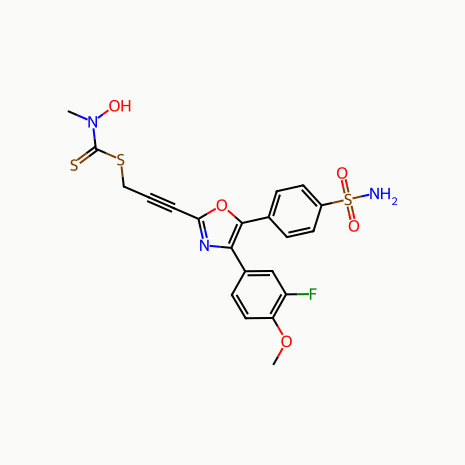 COc1ccc(-c2nc(C#CCSC(=S)N(C)O)oc2-c2ccc(S(N)(=O)=O)cc2)cc1F